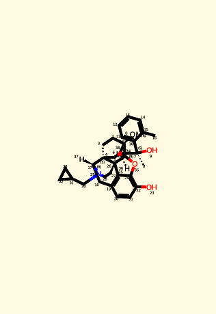 CO[C@]12CC[C@@]3(C[C@@H]1[C@](C)(O)c1ccccc1C)[C@H]1Cc4ccc(O)c5c4[C@@]3(CCN1CC1CC1)[C@H]2O5